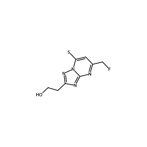 OCCc1nc2nc(CF)cc([S])n2n1